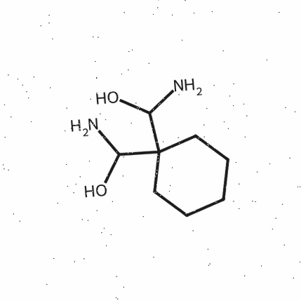 NC(O)C1(C(N)O)CCCCC1